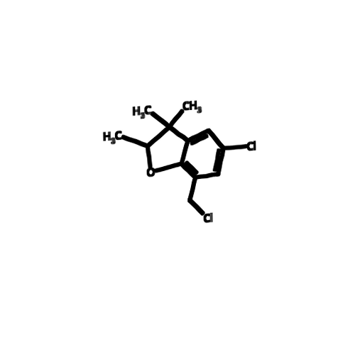 CC1Oc2c(CCl)cc(Cl)cc2C1(C)C